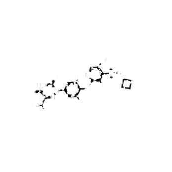 O=c1[nH]c(=O)n(-c2cc(Cl)c(Oc3ncc(O)c(S(=O)(=O)N[C@H]4C[C@H](O)C4)c3F)c(Cl)c2)nc1C(F)F